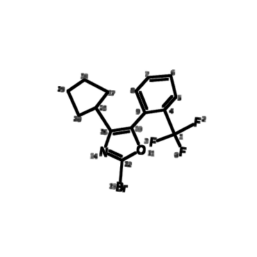 FC(F)(F)c1ccccc1-c1oc(Br)nc1C1CCCC1